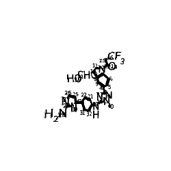 Cn1nc(-c2ccc3c(c2)CCN3C(=O)CC(F)(F)F)nc1Nc1ccc(-c2ccnc(N)n2)cc1.O=CO